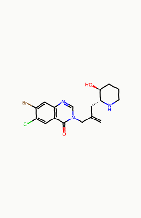 C=C(C[C@H]1NCCC[C@@H]1O)Cn1cnc2cc(Br)c(Cl)cc2c1=O